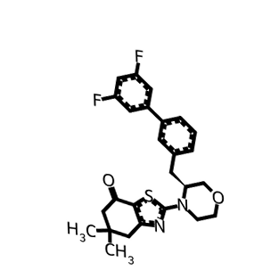 CC1(C)CC(=O)c2sc(N3CCOC[C@@H]3Cc3cccc(-c4cc(F)cc(F)c4)c3)nc2C1